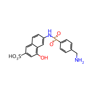 NCc1ccc(S(=O)(=O)Nc2ccc3cc(S(=O)(=O)O)cc(O)c3c2)cc1